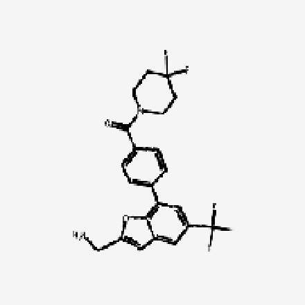 NCc1cc2cc(C(F)(F)F)cc(-c3ccc(C(=O)N4CCC(F)(F)CC4)cc3)c2o1